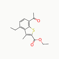 CCOC(=O)c1sc2c(C(C)=O)ccc(CC)c2c1C